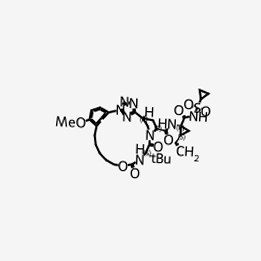 C=C[C@@H]1C[C@]1(NC(=O)[C@@H]1C[C@@H]2CN1C(=O)[C@H](C(C)(C)C)NC(=O)OCCCCCc1cc(ccc1OC)-n1nnc2n1)C(=O)NS(=O)(=O)C1CC1